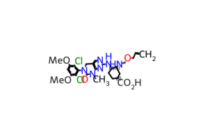 C=CCOCN[C@H]1C[C@H](C(=O)O)CC[C@H]1Nc1ncc2c(n1)N(C)C(=O)N(c1c(Cl)c(OC)cc(OC)c1Cl)C2